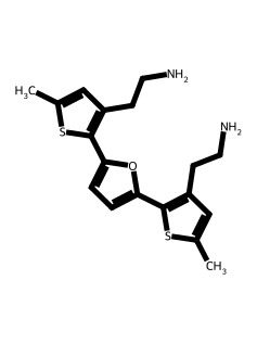 Cc1cc(CCN)c(-c2ccc(-c3sc(C)cc3CCN)o2)s1